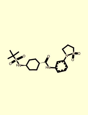 CC(C)(C)S(=O)(=O)N[C@H]1CC[C@H](C(=O)Nc2cccc(N3CCCS3(=O)=O)c2)CC1